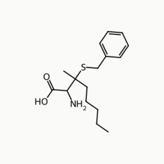 CCCCCC(C)(SCc1ccccc1)C(N)C(=O)O